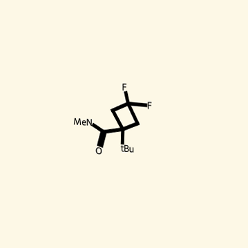 CNC(=O)C1(C(C)(C)C)CC(F)(F)C1